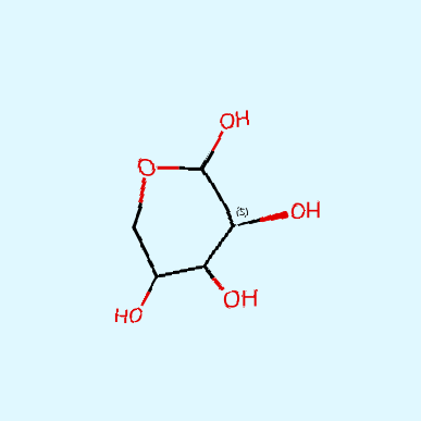 OC1COC(O)[C@@H](O)C1O